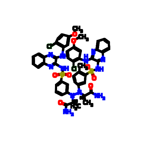 COc1ccc(Cl)c(Nc2nc3ccccc3nc2NS(=O)(=O)c2cccc(N([C@@H](C)C(N)=O)N(c3ccc(C)c(S(=O)(=O)Nc4nc5ccccc5nc4Nc4cc(OC)ccc4Cl)c3)[C@H](C)C(N)=O)c2)c1